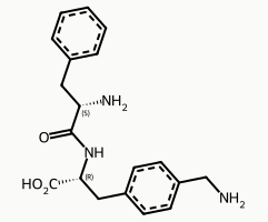 NCc1ccc(C[C@@H](NC(=O)[C@@H](N)Cc2ccccc2)C(=O)O)cc1